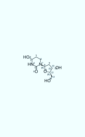 O=C1NC(O)CCN1[C@H]1C[C@H](O)[C@@H](CO)O1